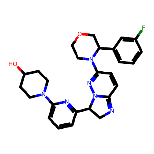 OC1CCN(c2cccc(C3CN=C4C=CC(N5CCOCC5c5cccc(F)c5)=NN43)n2)CC1